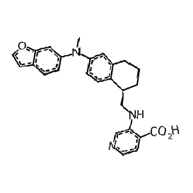 CN(c1ccc2c(c1)CCC[C@H]2CNc1cnccc1C(=O)O)c1ccc2ccoc2c1